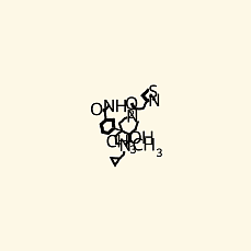 Cc1ccc(C(N)=O)cc1[C@@]12CCN(C(=O)Cc3ccsn3)CCC1(O)C(C)N(CC1CC1)CC2